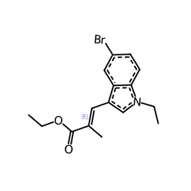 CCOC(=O)/C(C)=C/c1cn(CC)c2ccc(Br)cc12